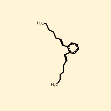 CCCCCC=Cc1ccccc1C=CCCCCC